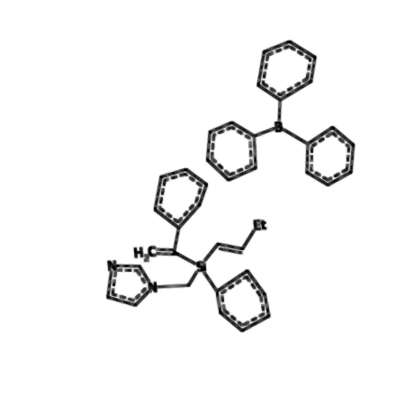 C=C(c1ccccc1)[Si](C=CCC)(Cn1ccnc1)c1ccccc1.c1ccc(B(c2ccccc2)c2ccccc2)cc1